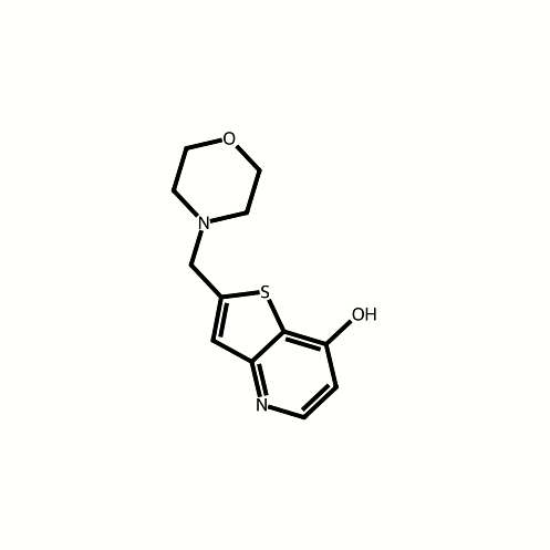 Oc1ccnc2cc(CN3CCOCC3)sc12